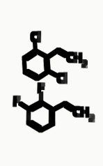 C=Cc1c(Cl)cccc1Cl.C=Cc1cccc(F)c1F